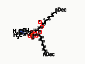 CCCCCCCCCCCCCCCC=CC(=O)OC[C@H](COP(=O)(O)OCC[N+](C)(C)C)OC(=O)C=CCCCCCCCCCCCCCCC